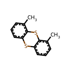 Cc1cccc2c1Sc1c(C)cccc1S2